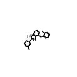 Cc1cccc(-c2nc3c(Cc4ccccc4I)cccc3[nH]2)c1